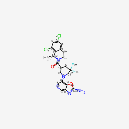 C[C@H]1c2c(Cl)cc(Cl)cc2CCN1C(=O)C1CN(c2cncc3nc(N)oc23)CC(F)(F)C1